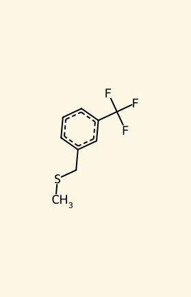 CSCc1cccc(C(F)(F)F)c1